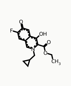 CCOC(=O)c1c(O)c2cc(=O)c(F)cc-2cn1CC1CC1